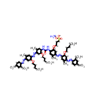 Cc1cc(NC(=O)Nc2cc(C)c(N=Nc3cc(C)c(N=Nc4ccc([N+](=O)[O-])cc4S(=O)(=O)O)cc3OCCCS(=O)(=O)O)cc2OCCCS(=O)(=O)ON)c(OCCCS(=O)(=O)O)cc1N=Nc1cc(C)c(N=Nc2ccc([N+](=O)[O-])cc2S(=O)(=O)O)cc1OCCCS(=O)(=O)O